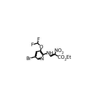 CCOC(=O)C(=CNc1ncc(Br)cc1OC(F)F)[N+](=O)[O-]